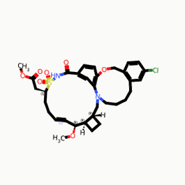 COC(=O)C[C@@H]1CC/C=C/[C@H](OC)[C@@H]2CC[C@H]2CN2CCCCc3cc(Cl)ccc3COc3ccc(cc32)C(=O)NS1(=O)=O